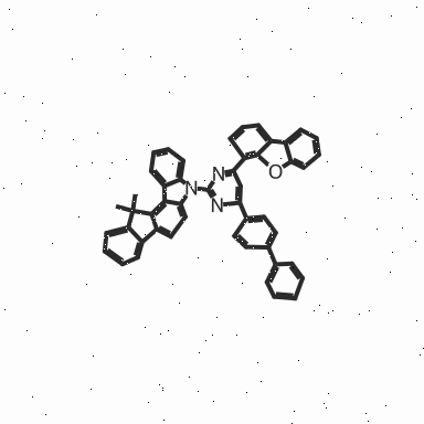 CC1(C)c2ccccc2-c2ccc3c(c21)c1ccccc1n3-c1nc(-c2ccc(-c3ccccc3)cc2)cc(-c2cccc3c2oc2ccccc23)n1